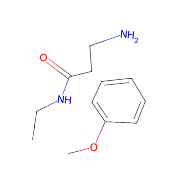 CCNC(=O)CCN.COc1ccccc1